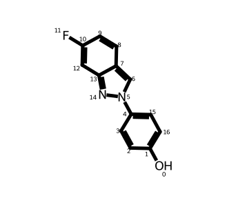 Oc1ccc(-n2cc3ccc(F)cc3n2)cc1